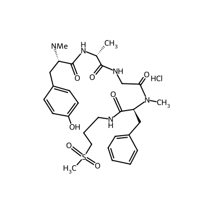 CN[C@@H](Cc1ccc(O)cc1)C(=O)N[C@H](C)C(=O)NCC(=O)N(C)[C@@H](Cc1ccccc1)C(=O)NCCCS(C)(=O)=O.Cl